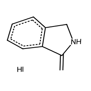 C=C1NCc2ccccc21.I